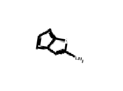 CC1=[C]C2C=CC=C2S1